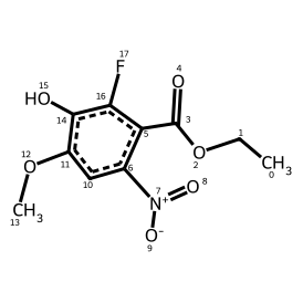 CCOC(=O)c1c([N+](=O)[O-])cc(OC)c(O)c1F